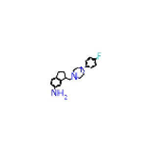 Nc1ccc2c(c1)C(CN1CCN(c3ccc(F)cc3)CC1)CC2